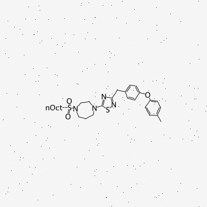 CCCCCCCCS(=O)(=O)N1CCCN(c2nc(Cc3ccc(Oc4ccc(C)cc4)cc3)ns2)CC1